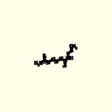 C=CCNC(=S)SSSSC(N)=S